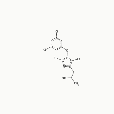 CCc1nn(CC(C)O)c(CC)c1Oc1cc(Cl)cc(Cl)c1